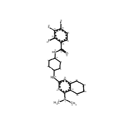 CN(C)c1nc(NC2CCC(NC(=O)c3ccc(F)c(F)c3F)CC2)nc2c1CCCC2